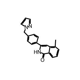 Cc1cccc2c(=O)[nH]c(-c3ccc(Cn4cccn4)cc3)cc12